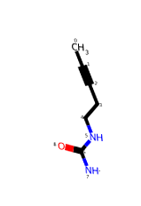 CC#CCCNC([NH])=O